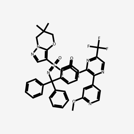 COc1cc(-c2ncc(C(F)(F)F)nc2NC(=O)NS(=O)(=NC(c2ccccc2)(c2ccccc2)c2ccccc2)c2cnn3c2OCC(C)(C)C3)ccn1